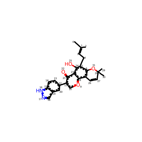 CC(C)=CCc1c2c(c3occ(-c4ccc5[nH]ncc5c4)c(=O)c3c1O)C=CC(C)(C)O2